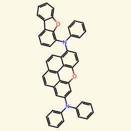 c1ccc(N(c2ccccc2)c2cc3c4c(ccc5ccc6c(N(c7ccccc7)c7cccc8c7oc7ccccc78)ccc(c6c54)O3)c2)cc1